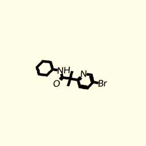 CC(C)(C(=O)NC1CCCCC1)c1ccc(Br)cn1